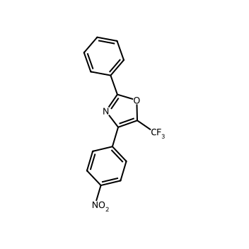 O=[N+]([O-])c1ccc(-c2nc(-c3ccccc3)oc2C(F)(F)F)cc1